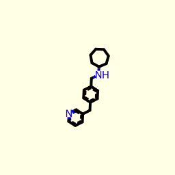 c1cncc(Cc2ccc(CNC3CCCCCC3)cc2)c1